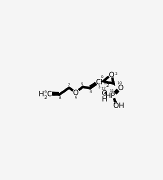 C1CO1.C=CCOCC=C.O=[PH](O)O